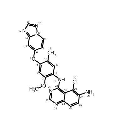 COc1cc(Oc2ccn3ncnc3c2)c(C)cc1Nc1ncnc2ccc(N)c(Cl)c12